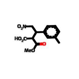 COC(=O)C(C(=O)O)C(C[N+](=O)[O-])c1cccc(C)c1